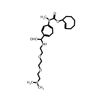 CN(C)CCOCCOCCNC(C=O)C1=CCC=C(N(C)C(=O)OC2/C=C/CCCCC2)C=C1